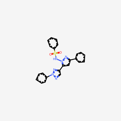 O=S(=O)(Nn1nc(-c2ccccc2)cc1-c1cnn(-c2ccccc2)n1)c1ccccc1